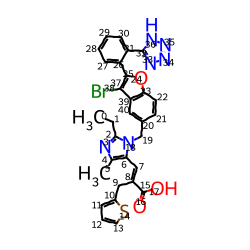 CCc1nc(C)c(C=C(Cc2cccs2)C(=O)O)n1Cc1ccc2oc(-c3ccccc3-c3nnn[nH]3)c(Br)c2c1